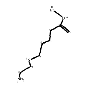 C=C(CCCCSCCN)OCC